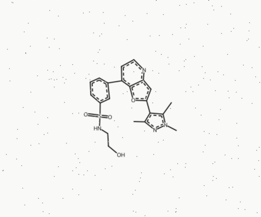 Cc1nn(C)c(C)c1-c1cc2nccc(-c3cccc(S(=O)(=O)NCCO)c3)c2o1